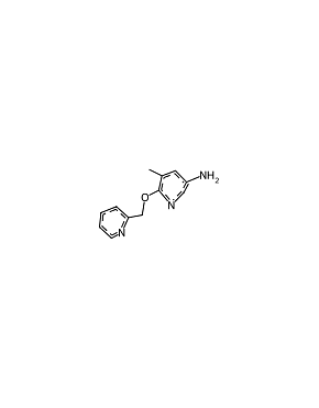 Cc1cc(N)cnc1OCc1ccccn1